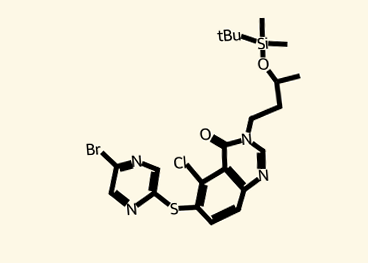 CC(CCn1cnc2ccc(Sc3cnc(Br)cn3)c(Cl)c2c1=O)O[Si](C)(C)C(C)(C)C